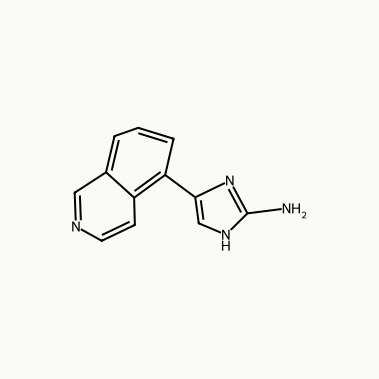 Nc1nc(-c2cccc3cnccc23)c[nH]1